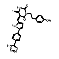 O=C1NC(=S)N(CCc2ccc(O)cc2)C(=O)/C1=C\c1ccc(-c2ccc(-c3nnn[nH]3)cc2)[nH]1